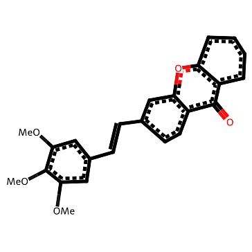 COc1cc(/C=C/c2ccc3c(=O)c4ccccc4oc3c2)cc(OC)c1OC